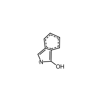 OC1=c2ccccc2=C[N]1